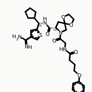 N=C(N)c1csc([C@@H](NC(=O)[C@@H]2CC3(CN2C(=O)CNC(=O)CCCOc2ccccc2)OCCO3)C2CCCC2)c1